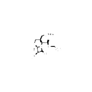 COCC1=C(C(=O)OCOC(C)=O)N2C(=O)C(N)[C@H]2SC1